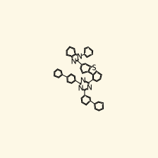 c1ccc(-c2ccc(-c3nc(-c4cccc(-c5ccccc5)c4)nc(-c4cccc5sc6cc(-c7nc8ccccc8n7-c7ccccc7)ccc6c45)n3)cc2)cc1